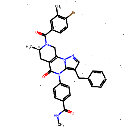 CNC(=O)c1ccc(-n2c(=O)c3c(n4ncc(Cc5ccccc5)c24)CN(C(=O)c2ccc(Br)c(C)c2)[C@H](C)C3)cc1